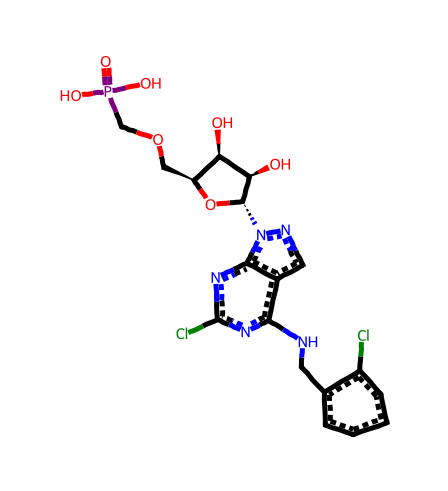 O=P(O)(O)COC[C@@H]1O[C@@H](n2ncc3c(NCc4ccccc4Cl)nc(Cl)nc32)[C@H](O)[C@@H]1O